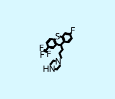 Fc1ccc2c(c1)Sc1ccc(C(F)(F)F)cc1C2CCCN1CCNCC1